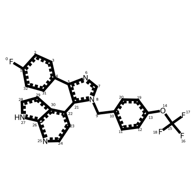 Fc1ccc(-c2ncn(Cc3ccc(OC(F)(F)F)cc3)c2-c2ccnc3[nH]ccc23)cc1